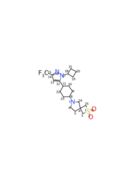 O=S1(=O)CC2(CCN(C3CCC(c4cc(C(F)(F)F)nn4C4CCC4)CC3)C2)C1